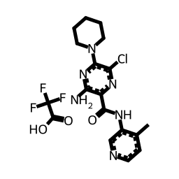 Cc1ccncc1NC(=O)c1nc(Cl)c(N2CCCCC2)nc1N.O=C(O)C(F)(F)F